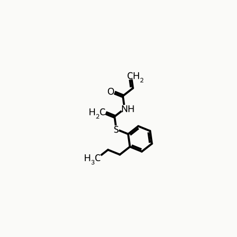 C=CC(=O)NC(=C)Sc1ccccc1CCC